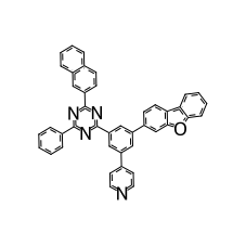 c1ccc(-c2nc(-c3cc(-c4ccncc4)cc(-c4ccc5c(c4)oc4ccccc45)c3)nc(-c3ccc4ccccc4c3)n2)cc1